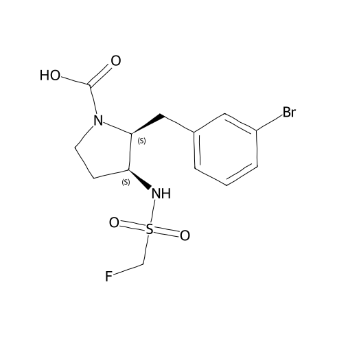 O=C(O)N1CC[C@H](NS(=O)(=O)CF)[C@@H]1Cc1cccc(Br)c1